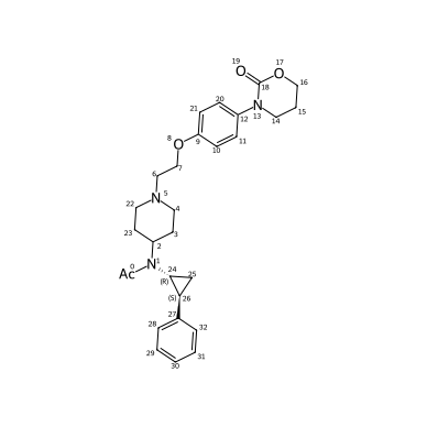 CC(=O)N(C1CCN(CCOc2ccc(N3CCCOC3=O)cc2)CC1)[C@@H]1C[C@H]1c1ccccc1